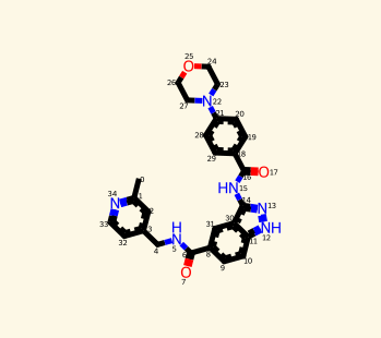 Cc1cc(CNC(=O)c2ccc3[nH]nc(NC(=O)c4ccc(N5CCOCC5)cc4)c3c2)ccn1